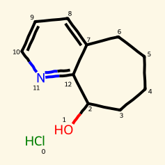 Cl.OC1CCCCc2cccnc21